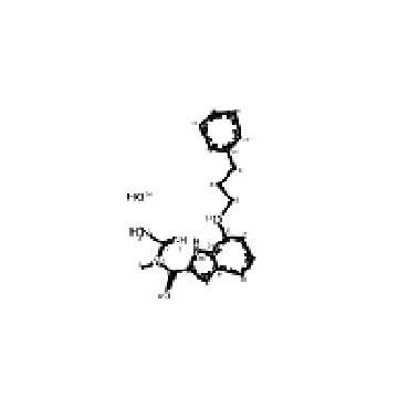 CN(C(=N)N)C(=O)c1cc2cccc(OCCCc3ccccc3)c2[nH]1.Cl